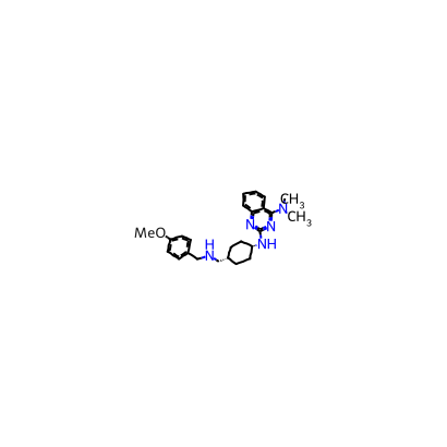 COc1ccc(CNC[C@H]2CC[C@@H](Nc3nc(N(C)C)c4ccccc4n3)CC2)cc1